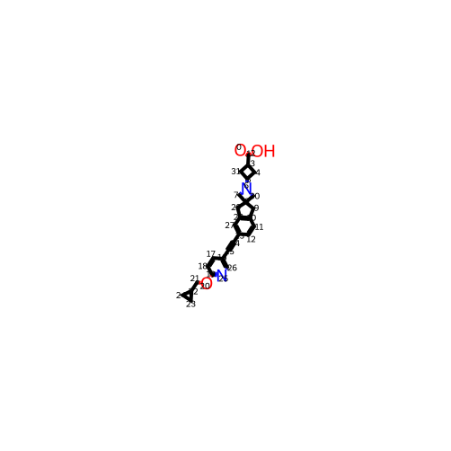 O=C(O)C1CC(N2CC3(Cc4ccc(C#Cc5ccc(OCC6CC6)nc5)cc4C3)C2)C1